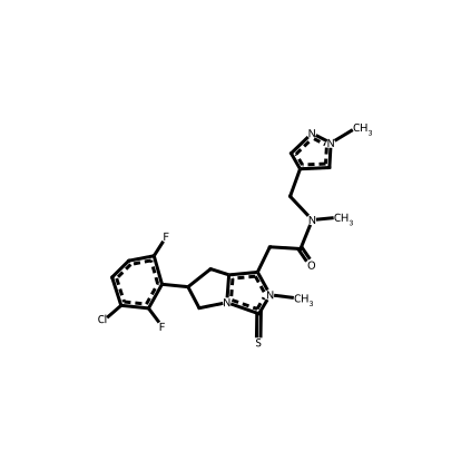 CN(Cc1cnn(C)c1)C(=O)Cc1c2n(c(=S)n1C)CC(c1c(F)ccc(Cl)c1F)C2